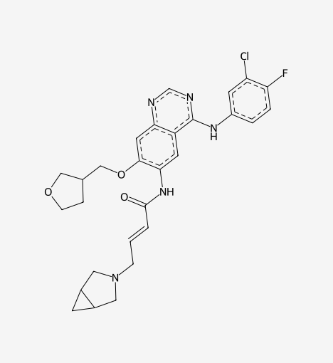 O=C(/C=C/CN1CC2CC2C1)Nc1cc2c(Nc3ccc(F)c(Cl)c3)ncnc2cc1OCC1CCOC1